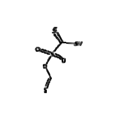 O=S(=O)(OC=S)C(=S)S